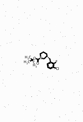 CC(C)(C)OC(=O)N1CCC[C@@H](Cc2cccc(Cl)c2F)C1